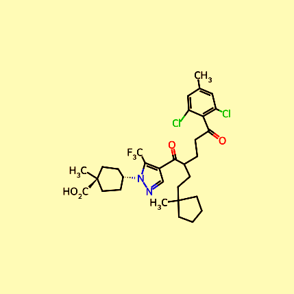 Cc1cc(Cl)c(C(=O)CCC(CCC2(C)CCCC2)C(=O)c2cnn([C@H]3CC[C@](C)(C(=O)O)CC3)c2C(F)(F)F)c(Cl)c1